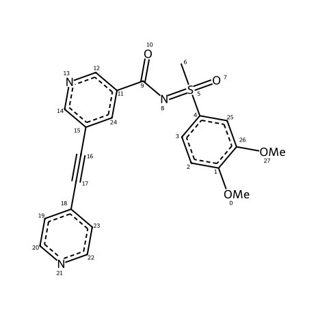 COc1ccc(S(C)(=O)=NC(=O)c2cncc(C#Cc3ccncc3)c2)cc1OC